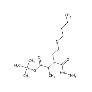 CCCCOCCC(C(=O)NN)C(C)C(=O)OC(C)(C)C